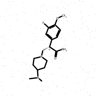 CN(C)C1CCN(C[C@@H](C(N)=O)c2ccc(OC(F)(F)F)c(F)c2)CC1